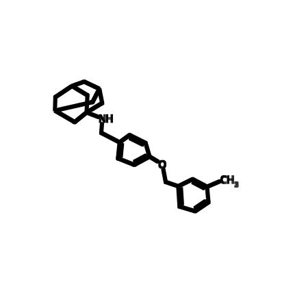 Cc1cccc(COc2ccc(CNC34CC5CC(CC(C5)C3)C4)cc2)c1